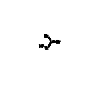 F.[Br][La]([Br])[Br]